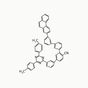 Cc1ccc(-c2nc(-c3ccc(C)cc3)nc(-c3cccc(-c4ccc(C#N)c(-c5cccc(-c6cccc(-c7ccc8c(ccc9ccccc98)c7)c6)c5)c4)c3)n2)cc1